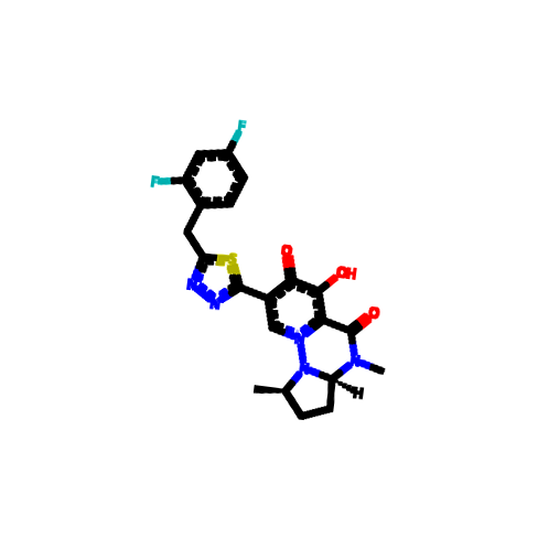 C[C@@H]1CC[C@@H]2N(C)C(=O)c3c(O)c(=O)c(-c4nnc(Cc5ccc(F)cc5F)s4)cn3N12